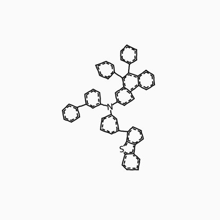 c1ccc(-c2cccc(N(c3cccc(-c4cccc5c4sc4ccccc45)c3)c3ccc4c(c3)c(-c3ccccc3)c(-c3ccccc3)c3ccccc34)c2)cc1